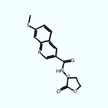 CSc1ccc2cc(C(=O)N[C@H]3CCOC3=O)cnc2c1